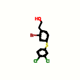 OCCc1ccc(Sc2ccc(Cl)c(Cl)c2)cc1Br